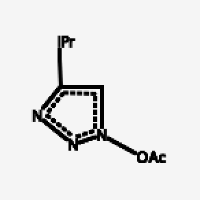 CC(=O)On1cc(C(C)C)nn1